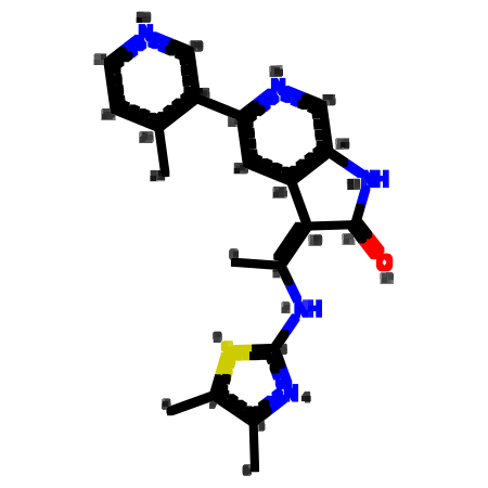 C/C(Nc1nc(C)c(C)s1)=C1/C(=O)Nc2cnc(-c3cnccc3C)cc21